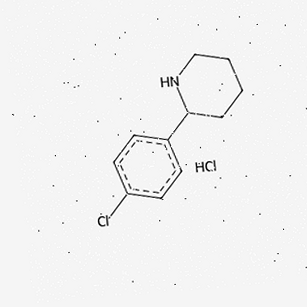 Cl.Clc1ccc(C2CCCCN2)cc1